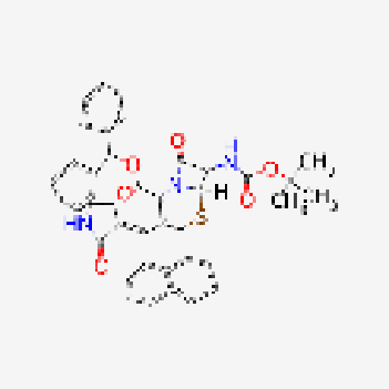 CC(C)(C)OC(=O)N[C@@H]1C(=O)N2C(C(=O)OC(c3ccccc3)c3ccccc3)=C(C(=C3CCNC3=O)c3cccc4ccccc34)CS[C@H]12